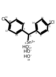 Clc1ccc([CH]([Sn+3])c2ccc(Cl)cc2)cc1.[OH-].[OH-].[OH-]